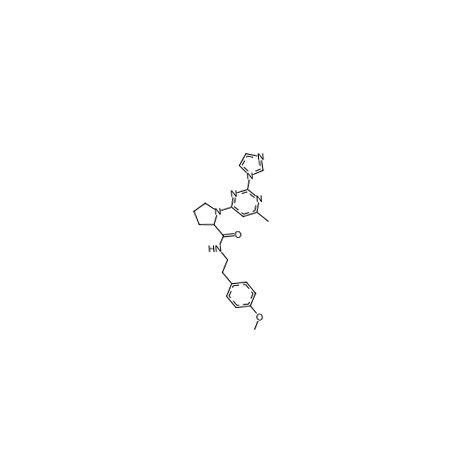 COc1ccc(CCNC(=O)C2CCCN2c2cc(C)nc(-n3ccnc3)n2)cc1